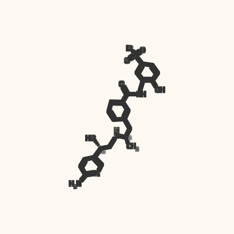 CCS(=O)(=O)c1ccc(O)c(NC(=O)c2cccc(C[C@@H](C)NC[C@@H](O)c3ccc(N)nc3)c2)c1